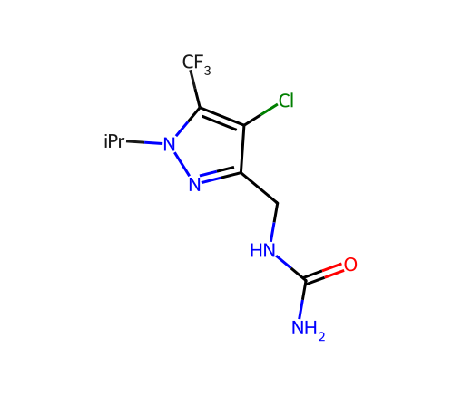 CC(C)n1nc(CNC(N)=O)c(Cl)c1C(F)(F)F